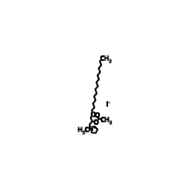 CCCCCCCCCCCCCCCCOCC(C[N+]1(C)CCCC1)OC(C)=O.[I-]